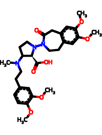 COc1ccc(CCN(C)C2CCN(N3CCc4cc(OC)c(OC)cc4CC3=O)[C@@H]2C(=O)O)cc1OC